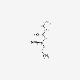 CCCC(C#N)CC(=O)OCC